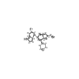 Fc1cc(-c2nc(N3CCOCC3)c3sc(CBr)cc3n2)c2cc[nH]c2c1